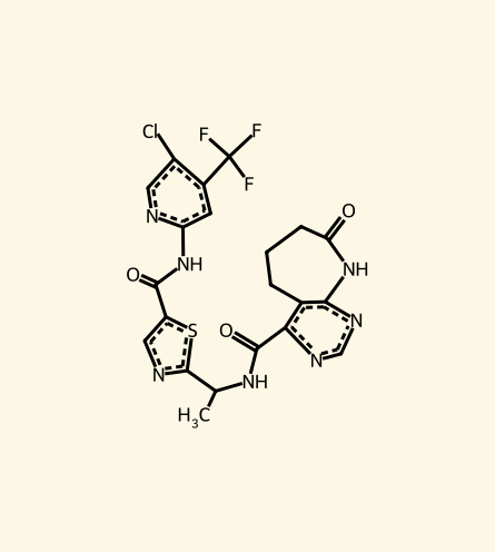 CC(NC(=O)c1ncnc2c1CCCC(=O)N2)c1ncc(C(=O)Nc2cc(C(F)(F)F)c(Cl)cn2)s1